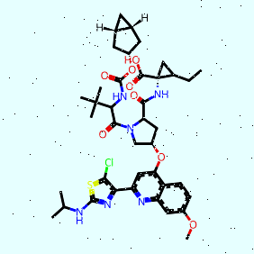 CCC1C[C@]1(NC(=O)C1C[C@@H](Oc2cc(-c3nc(NC(C)C)sc3Cl)nc3cc(OC)ccc23)CN1C(=O)C(NC(=O)O[C@@H]1C[C@@H]2C[C@@H]2C1)C(C)(C)C)C(=O)O